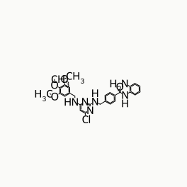 COc1cc(CNc2cc(Cl)nc(NCc3ccc(C(=O)Nc4ccccc4N)cc3)n2)cc(OC)c1OC